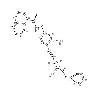 C[C@@H](NCc1ccc(C#CC(C)(C)C(=O)OCc2ccccc2)c(O)c1)c1cccc2ccccc12